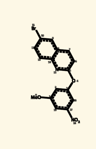 COc1cc(Oc2ccc3cc(Br)ccc3n2)cc([N+](=O)[O-])c1